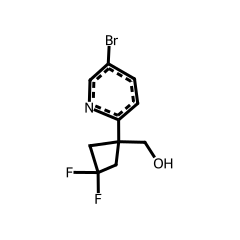 OCC1(c2ccc(Br)cn2)CC(F)(F)C1